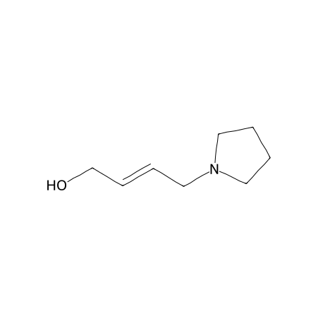 OCC=CCN1CCCC1